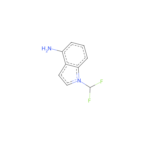 Nc1cccc2c1ccn2C(F)F